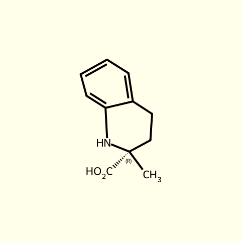 C[C@]1(C(=O)O)CCc2ccccc2N1